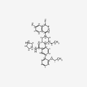 CCOc1ccccc1-c1ccc(N2CCN(C(=O)c3ccc(F)cc3C(F)F)C[C@H]2CC)c(C(=O)N[C@@H]2CCNC2)n1